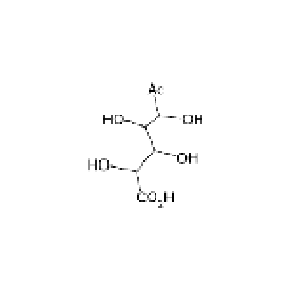 CC(=O)C(O)C(O)C(O)C(O)C(=O)O